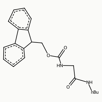 [CH2]CCCNC(=O)CNC(=O)OCC1c2ccccc2-c2ccccc21